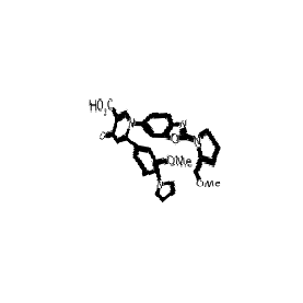 COCC1CCCN1c1nc2ccc(-n3cc(C(=O)O)c(=O)cc3-c3ccc(N4CCCC4)c(OC)c3)cc2o1